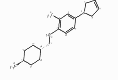 Cc1cc(N2CC=CC2)ccc1NC[C@H]1CC[C@H](N)CC1